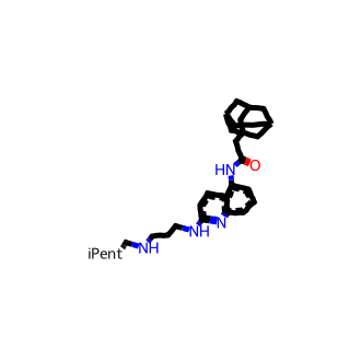 CCCC(C)CNCCCNc1ccc2c(NC(=O)CC34CC5CC(CC(C5)C3)C4)cccc2n1